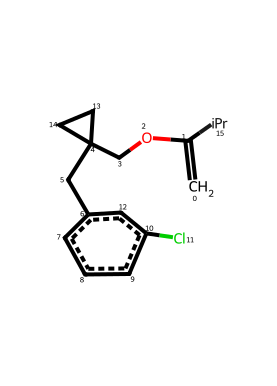 C=C(OCC1(Cc2cccc(Cl)c2)CC1)C(C)C